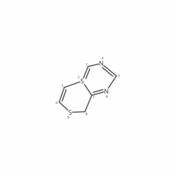 C1=CS2=CN=CN=C2CS1